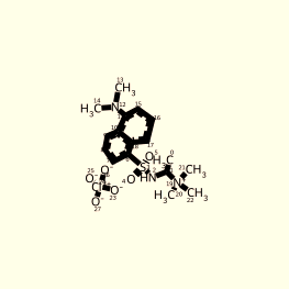 CC(NS(=O)(=O)c1cccc2c(N(C)C)cccc12)[N+](C)(C)C.[O-][Cl+3]([O-])([O-])[O-]